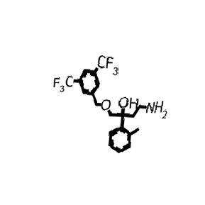 Cc1ccccc1C(O)(CCN)COCc1cc(C(F)(F)F)cc(C(F)(F)F)c1